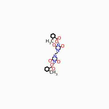 Cc1ccccc1C(=O)OCN1C(=O)CN(CCN2CC(=O)N(COC(=O)c3ccccc3C)C(=O)C2)CC1=O